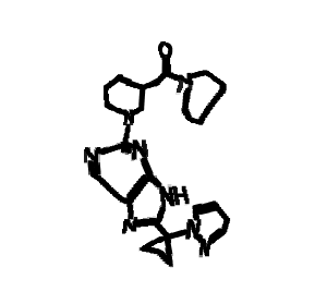 O=C(C1CCCN(c2ncc3nc(C4(n5cccn5)CC4)[nH]c3n2)C1)N1CCCC1